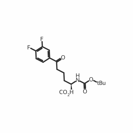 CC(C)(C)OC(=O)N[C@H](CCCC(=O)c1ccc(F)c(F)c1)C(=O)O